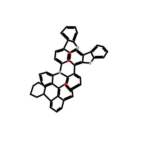 c1ccc(N(c2ccc3c(c2)oc2ccccc23)c2ccccc2-c2cccc3cccc(C4CCCCC4)c23)c(-c2cccc3c2sc2ccccc23)c1